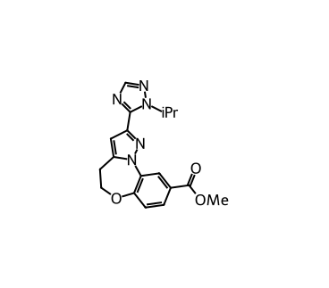 COC(=O)c1ccc2c(c1)-n1nc(-c3ncnn3C(C)C)cc1CCO2